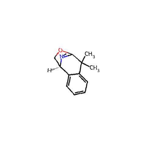 CC1(C)C2=N[C@H](CO2)c2ccccc21